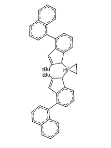 CC(C)(C)C1=Cc2c(-c3cccc4ccccc34)cccc2[CH]1[Hf]1([CH]2C(C(C)(C)C)=Cc3c(-c4cccc5ccccc45)cccc32)[CH2][CH2]1